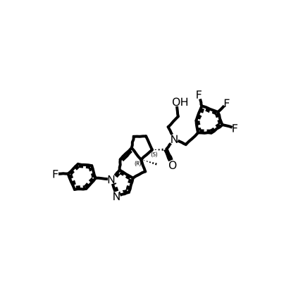 C[C@]12Cc3cnn(-c4ccc(F)cc4)c3C=C1CC[C@@H]2C(=O)N(CCO)Cc1cc(F)c(F)c(F)c1